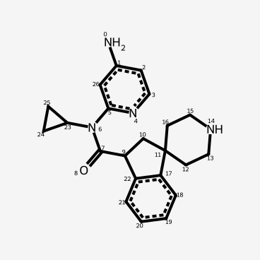 Nc1ccnc(N(C(=O)C2CC3(CCNCC3)c3ccccc32)C2CC2)c1